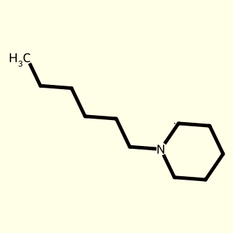 CCCCCCN1[CH]CCCC1